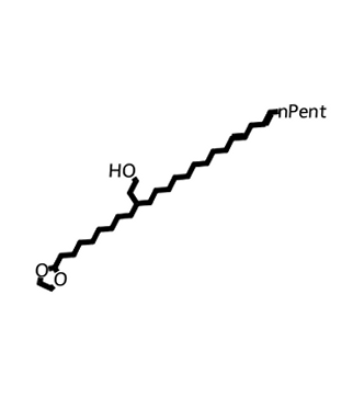 CCCCCC=CCC=CCCCCCCCCCC(CCO)CCCCCCCCC1OCCO1